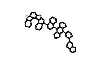 c1cc(-c2ccc3ccccc3c2)cc(-c2c3ccccc3c(-c3ccc(-c4cc5sc6ccc7sc8ccccc8c7c6c5c5ccccc45)c4ccccc34)c3ccccc23)c1